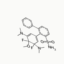 COC1(F)C(N(C)C)=CC(c2c(-c3ccccc3)cccc2S(N)(=O)=O)=CC1(F)N(C)C